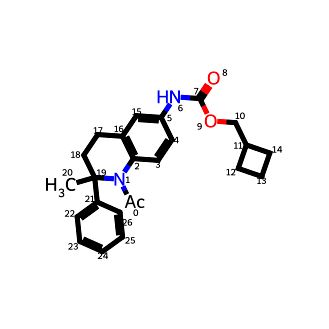 CC(=O)N1c2ccc(NC(=O)OCC3CCC3)cc2CCC1(C)c1ccccc1